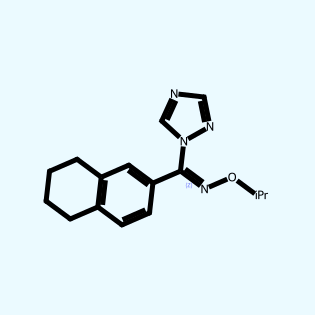 CC(C)O/N=C(/c1ccc2c(c1)CCCC2)n1cncn1